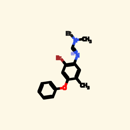 CCN(C)/C=N/c1cc(C)c(Oc2ccccc2)cc1Br